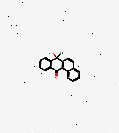 CC1(O)c2ccccc2C(=O)c2c1ccc1ccccc21